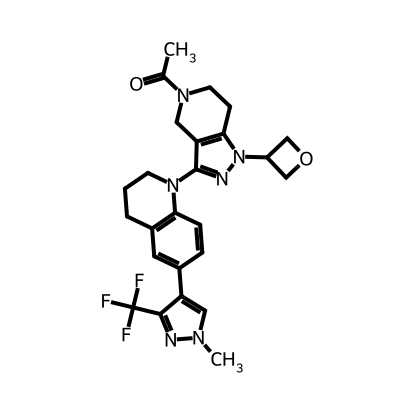 CC(=O)N1CCc2c(c(N3CCCc4cc(-c5cn(C)nc5C(F)(F)F)ccc43)nn2C2COC2)C1